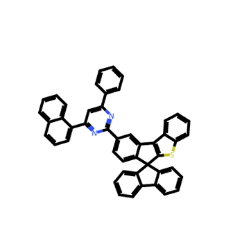 c1ccc(-c2cc(-c3cccc4ccccc34)nc(-c3ccc4c(c3)-c3c(sc5ccccc35)C43c4ccccc4-c4ccccc43)n2)cc1